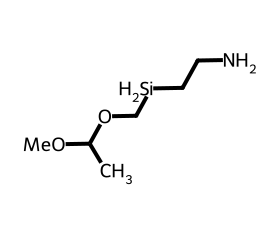 COC(C)OC[SiH2]CCN